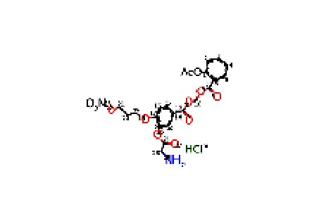 CC(=O)Oc1ccccc1C(=O)OCOC(=O)c1ccc(OCCCO[N+](=O)[O-])c(OC(=O)CN)c1.Cl